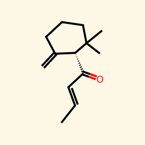 C=C1CCCC(C)(C)[C@@H]1C(=O)/C=C/C